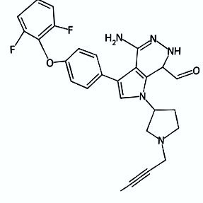 CC#CCN1CCC(n2cc(-c3ccc(Oc4c(F)cccc4F)cc3)c3c2C(C=O)NN=C3N)C1